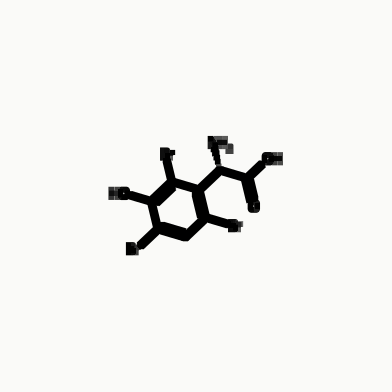 N[C@H](C(=O)O)c1c(Br)cc(Br)c(O)c1Br